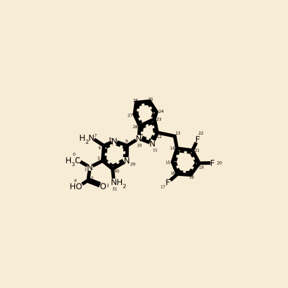 CN(C(=O)O)c1c(N)nc(-n2nc(Cc3cc(F)cc(F)c3F)c3ccccc32)nc1N